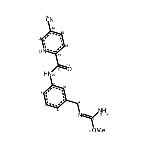 CO/C(N)=N/Cc1cccc(NC(=O)c2ccc(C#N)cn2)c1